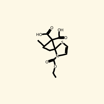 CCOC(=O)N1C=CSC1(CC)C(CC)(C(=O)O)C(=O)O